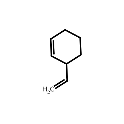 C=[C]C1C=CCCC1